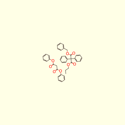 CCCOC(=O)C(C(=O)OCc1ccccc1)(c1ccccc1)c1ccccc1.O=C(CC(=O)Oc1ccccc1)Oc1ccccc1